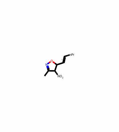 CCC/C=C/C1ON=C(C)C1[N+](=O)[O-]